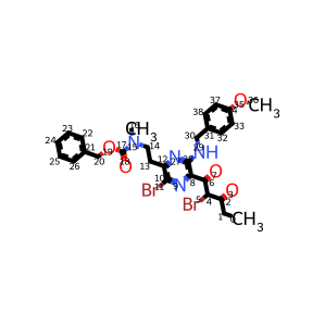 CCC(=O)C(Br)C(=O)c1nc(Br)c(CCN(C)C(=O)OCc2ccccc2)nc1NCc1ccc(OC)cc1